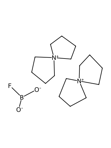 C1CC[N+]2(C1)CCCC2.C1CC[N+]2(C1)CCCC2.[O-]B([O-])F